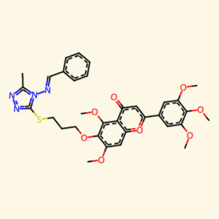 COc1cc(-c2cc(=O)c3c(OC)c(OCCCSc4nnc(C)n4N=Cc4ccccc4)c(OC)cc3o2)cc(OC)c1OC